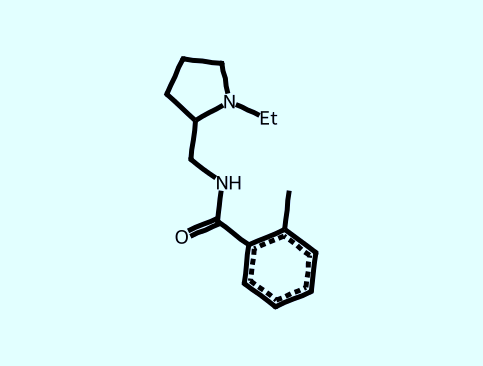 CCN1CCCC1CNC(=O)c1ccccc1C